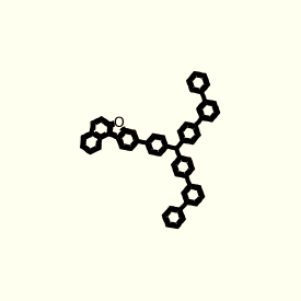 c1ccc(-c2cccc(-c3ccc(C(c4ccc(-c5cccc(-c6ccccc6)c5)cc4)c4ccc(-c5ccc6c(c5)oc5ccc7ccccc7c56)cc4)cc3)c2)cc1